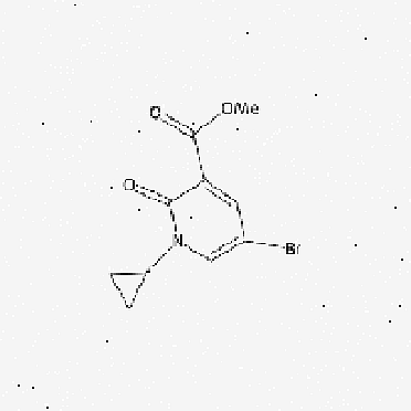 COC(=O)c1cc(Br)cn(C2CC2)c1=O